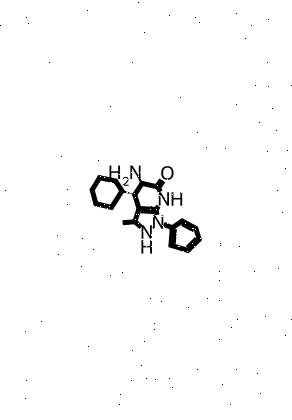 CC1NN(c2ccccc2)C2=C1[C@H](C1CCCCC1)[C@H](N)C(=O)N2